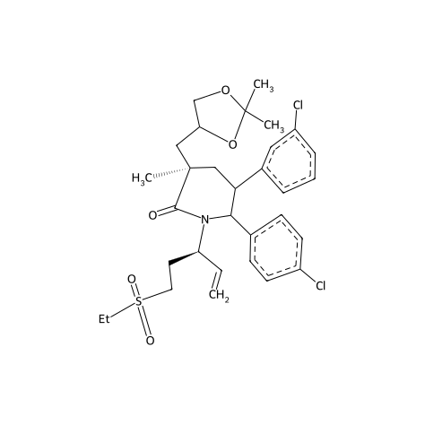 C=C[C@@H](CCS(=O)(=O)CC)N1C(=O)[C@@](C)(CC2COC(C)(C)O2)CC(c2cccc(Cl)c2)C1c1ccc(Cl)cc1